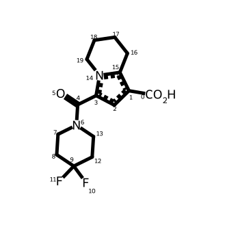 O=C(O)c1cc(C(=O)N2CCC(F)(F)CC2)n2c1CCCC2